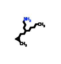 CCCCCC(CCCN)CCC1CC1C